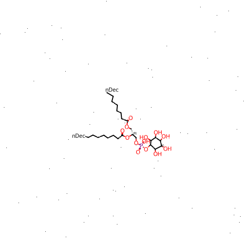 CCCCCCCCCCCCCCCCCC(=O)OC[C@H](COP(=O)(O)OC1C(O)C(O)C(O)[C@@H](O)C1O)OC(=O)CCCCCCCCCCCCCCCCC